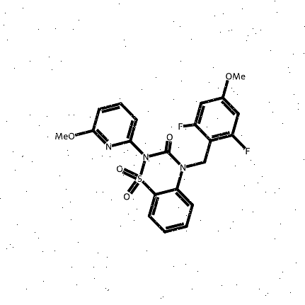 COc1cc(F)c(CN2C(=O)N(c3cccc(OC)n3)S(=O)(=O)c3ccccc32)c(F)c1